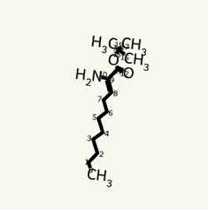 CCCCCCCCC=C(N)C(=O)OC(C)(C)C